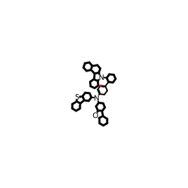 C1=C(c2ccccc2-n2c3ccccc3c3c4ccccc4ccc32)CCC(N(c2ccc3c(c2)oc2ccccc23)c2ccc3sc4ccccc4c3c2)=C1